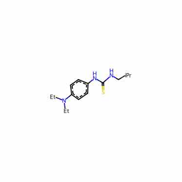 CCN(CC)c1ccc(NC(=S)NCC(C)C)cc1